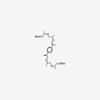 C=C(COC(C)COC(C)COC)c1ccc(C(C)=COC(C)COC(C)COC)cc1